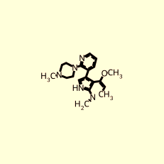 C=Nc1[nH]cc(-c2cccnc2N2CCN(C)CC2)c1/C(=C\C)OC